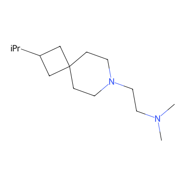 CC(C)C1CC2(CCN(CCN(C)C)CC2)C1